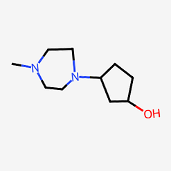 CN1CCN(C2CCC(O)C2)CC1